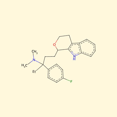 CCC(CCC1OCCc2c1[nH]c1ccccc21)(c1ccc(F)cc1)N(C)C